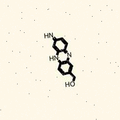 N=c1ccc2nc3cc(CO)ccc3[nH]c-2c1